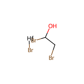 OC(Br)CBr.[Br][Hf]